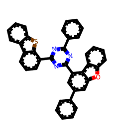 c1ccc(-c2cc(-c3nc(-c4ccccc4)nc(-c4cccc5c4sc4ccccc45)n3)c3c(c2)oc2ccccc23)cc1